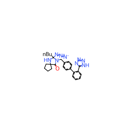 CCCCC1(N=[N+]=[N-])NC2(CCCC2)C(=O)N1Cc1ccc(-c2ccccc2-c2nnn[nH]2)cc1